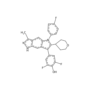 Cc1n[nH]c2cc3c(-c4cc(F)c(O)c(F)c4)c(C4CCOCC4)n(-c4ccc(F)cc4)c3cc12